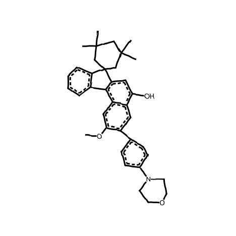 COc1cc2c3c(cc(O)c2cc1-c1ccc(N2CCOCC2)cc1)C1(CC(C)(C)CC(C)(C)C1)c1ccccc1-3